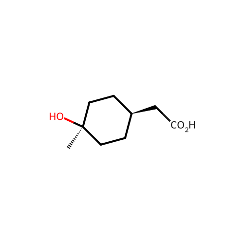 C[C@]1(O)CC[C@@H](CC(=O)O)CC1